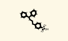 O=S(=O)(O)c1ccc(CCCC(c2ccccc2)c2ccccc2)cc1